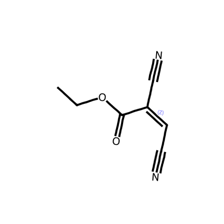 CCOC(=O)/C(C#N)=C\C#N